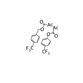 CC(=O)C(=O)OCc1ccc(C(F)(F)F)cc1.CC(=O)C(=O)Oc1ccc(C(F)(F)F)cc1